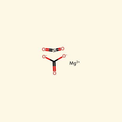 O=C([O-])[O-].O=[Si]=O.[Mg+2]